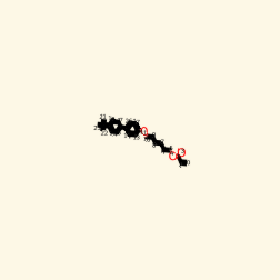 C=CC(=O)OCCCCCCOc1ccc(-c2ccc(C(C)(C)C)cc2)cc1